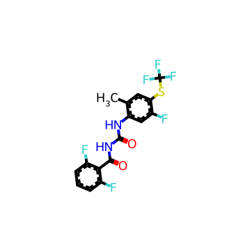 Cc1cc(SC(F)(F)F)c(F)cc1NC(=O)NC(=O)c1c(F)cccc1F